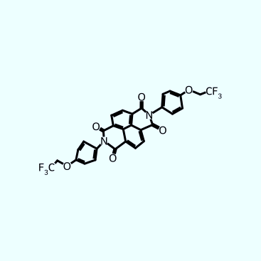 O=C1c2ccc3c4c(ccc(c24)C(=O)N1c1ccc(OCC(F)(F)F)cc1)C(=O)N(c1ccc(OCC(F)(F)F)cc1)C3=O